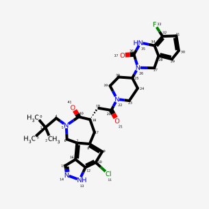 CC(C)(C)CN1Cc2c(cc(Cl)c3[nH]ncc23)C[C@@H](CC(=O)N2CCC(N3Cc4cccc(F)c4NC3=O)CC2)C1=O